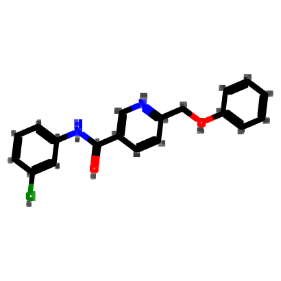 O=C(Nc1cccc(Cl)c1)c1ccc(COc2ccccc2)nc1